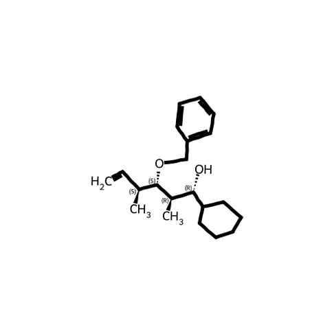 C=C[C@H](C)[C@H](OCc1ccccc1)[C@H](C)[C@H](O)C1CCCCC1